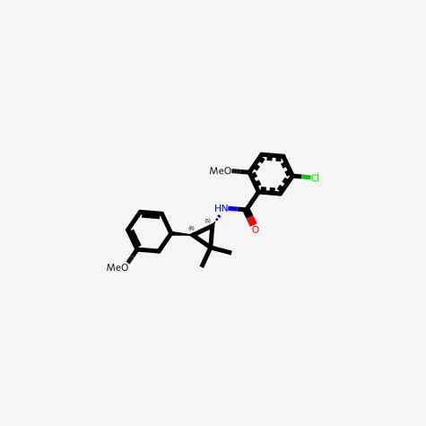 COC1=CC=CC([C@H]2[C@H](NC(=O)c3cc(Cl)ccc3OC)C2(C)C)C1